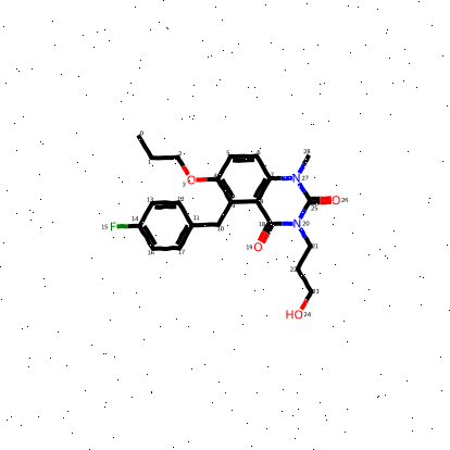 CCCOc1ccc2c(c1Cc1ccc(F)cc1)c(=O)n(CCCO)c(=O)n2C